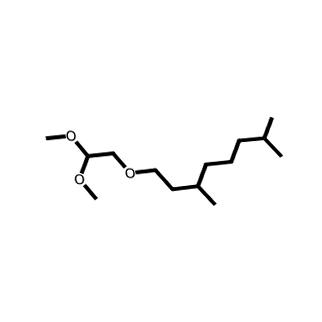 COC(COCCC(C)CCCC(C)C)OC